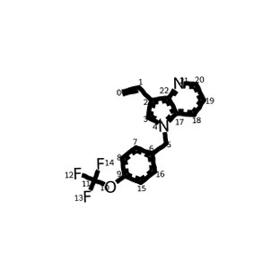 C=Cc1cn(Cc2ccc(OC(F)(F)F)cc2)c2cccnc12